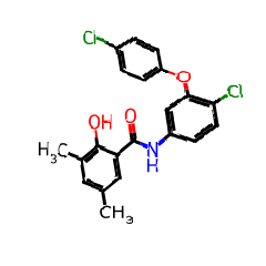 Cc1cc(C)c(O)c(C(=O)Nc2ccc(Cl)c(Oc3ccc(Cl)cc3)c2)c1